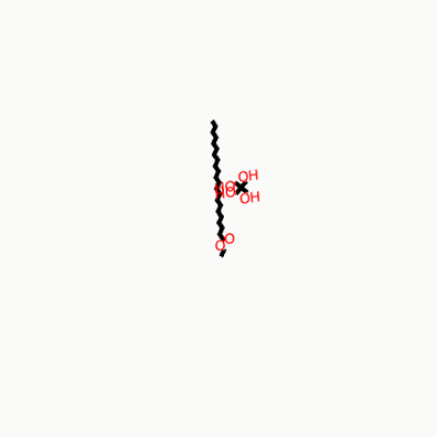 CCCCCCCCCCCCCCCCCCCCCC(=O)OCC.OCC(CO)(CO)CO